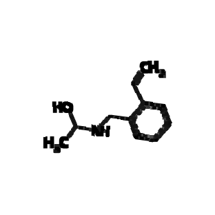 C=Cc1ccccc1CNC(C)O